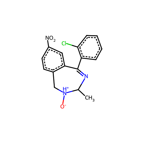 CC1N=C(c2ccccc2Cl)c2cc([N+](=O)[O-])ccc2C[NH+]1[O-]